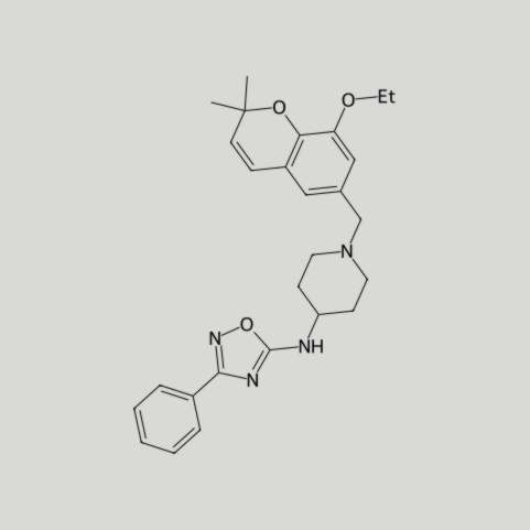 CCOc1cc(CN2CCC(Nc3nc(-c4ccccc4)no3)CC2)cc2c1OC(C)(C)C=C2